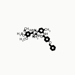 COc1cc(C(=O)N(N)C(=N)N(N)C2=CC(NC(=O)c3ccc(OCc4ccccc4)cc3)C(C)C=C2)cc(OC)c1OC